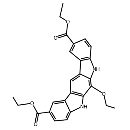 CCOC(=O)c1ccc2[nH]c3c(OCC)c4[nH]c5ccc(C(=O)OCC)cc5c4cc3c2c1